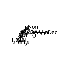 CCCCCCCCCCCCCCCCC(=O)OC[C@H](COP(=O)(O)OCC[N+](C)(C)C)OC(=O)CCCCCCCCC